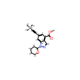 COC(=O)c1cc(C#C[Si](C)(C)C)cc2c1cnn2C1CCCCO1